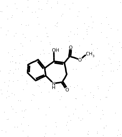 COC(=O)C1=C(O)c2ccccc2NC(=O)C1